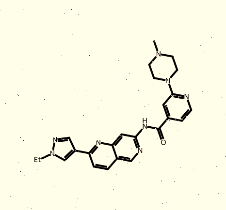 CCn1cc(-c2ccc3cnc(NC(=O)c4ccnc(N5CCN(C)CC5)c4)cc3n2)cn1